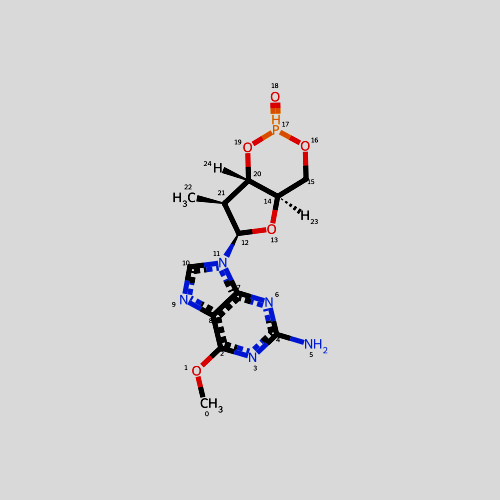 COc1nc(N)nc2c1ncn2[C@@H]1O[C@@H]2CO[PH](=O)O[C@H]2[C@@H]1C